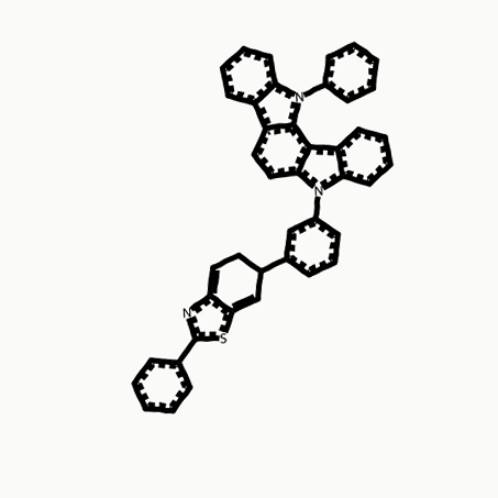 C1=c2nc(-c3ccccc3)sc2=CC(c2cccc(-n3c4ccccc4c4c3ccc3c5ccccc5n(-c5ccccc5)c34)c2)C1